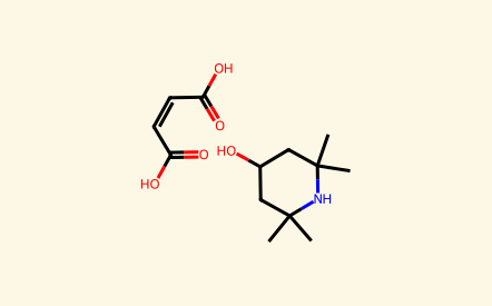 CC1(C)CC(O)CC(C)(C)N1.O=C(O)/C=C\C(=O)O